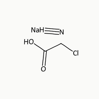 C#N.O=C(O)CCl.[NaH]